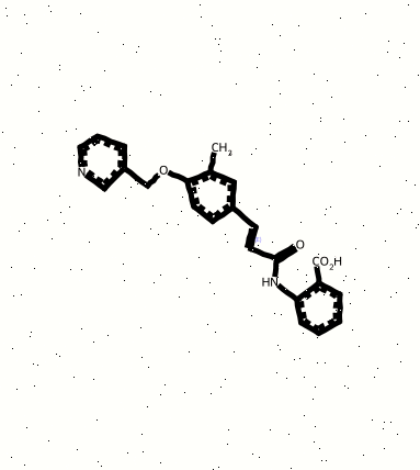 Cc1cc(/C=C/C(=O)Nc2ccccc2C(=O)O)ccc1OCc1cccnc1